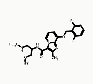 Cc1nc2c(OCc3c(F)cccc3F)cccn2c1C(=O)NC(CNC(=O)O)COC(C)C